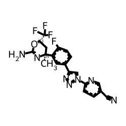 C[C@@]1(c2cc(-c3cn(-c4ccc(C#N)cn4)nn3)ccc2F)C[C@@H](C(F)(F)F)OC(N)=N1